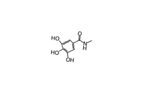 CNC(=O)c1cc(O)c(O)c(O)c1